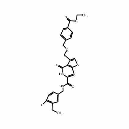 CCOC(=O)c1ccc(COCc2csc3nc(C(=O)NCc4ccc(F)c(CC)c4)[nH]c(=O)c23)cc1